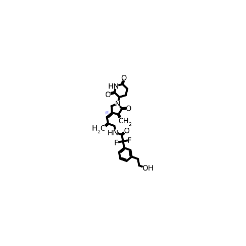 C=C(/C=C1/CN(C2CCC(=O)NC2=O)C(=O)C1=C)CNC(=O)C(F)(F)c1cccc(CCO)c1